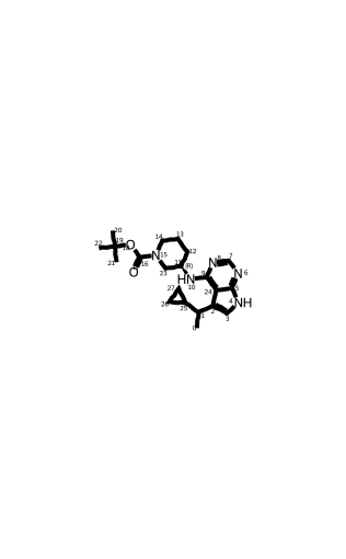 CC(c1c[nH]c2ncnc(N[C@@H]3CCCN(C(=O)OC(C)(C)C)C3)c12)C1CC1